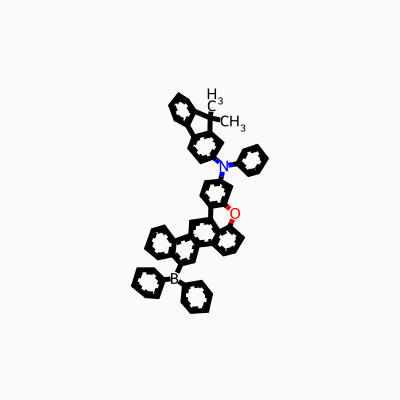 CC1(C)c2ccccc2-c2ccc(N(c3ccccc3)c3ccc4c(c3)Oc3cccc5c3c-4cc3c4ccccc4c(B(c4ccccc4)c4ccccc4)cc53)cc21